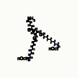 CCCCCCCC/C=C\CCCCCCCCOC[C@@H]1CN(C(=O)CCCCN)C[C@H]1COCCCCCCCC/C=C\CCCCCCCC